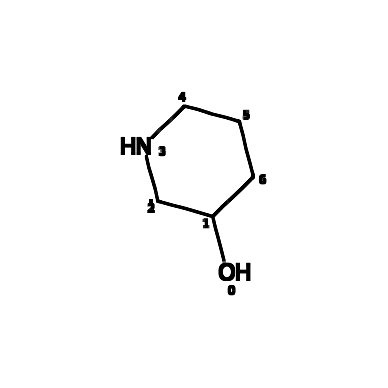 OC1[CH]NCCC1